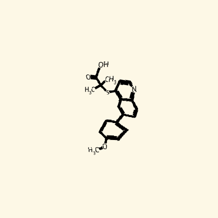 COc1ccc(-c2ccc3nccc(SC(C)(C)C(=O)O)c3c2)cc1